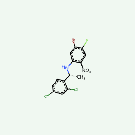 C[C@@H](Nc1cc(Br)c(F)cc1[N+](=O)[O-])c1ccc(Cl)cc1Cl